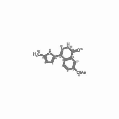 COc1ccc2c(-c3ccc(C)s3)n[nH]c(=O)c2c1